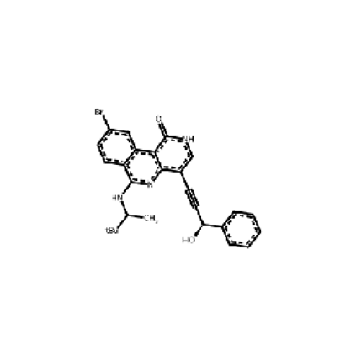 CC(Nc1nc2c(C#C[C@H](O)c3ccccc3)c[nH]c(=O)c2c2cc(Br)ccc12)C(C)(C)C